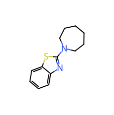 c1ccc2sc(N3CCCCCC3)nc2c1